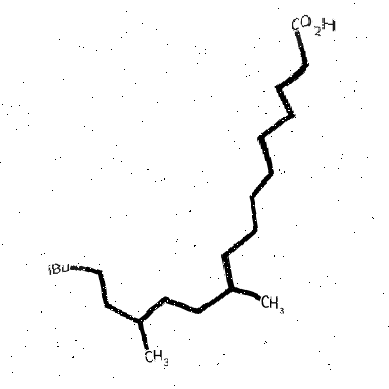 CCC(C)CCC(C)CCC(C)CCCCCCCCC(=O)O